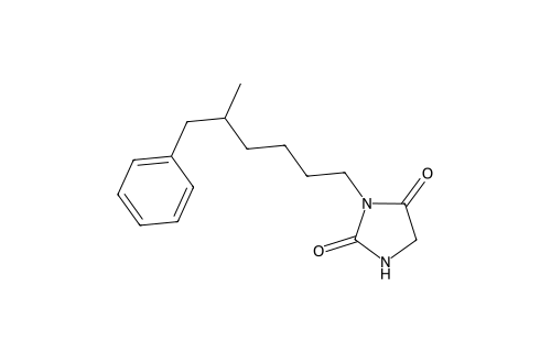 CC(CCCCN1C(=O)CNC1=O)Cc1ccccc1